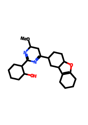 COC1CC(C2CCC3OC4=C(CCCC4)C3C2)=NC(C2CCCCC2O)=N1